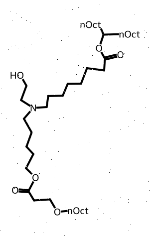 CCCCCCCCOCCC(=O)OCCCCCN(CCO)CCCCCCCC(=O)OC(CCCCCCCC)CCCCCCCC